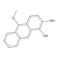 COc1c2ccccc2cc2c(O)c(O)ccc12